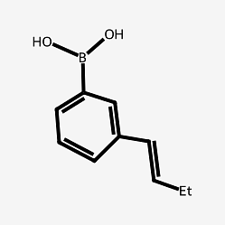 CC/C=C/c1cccc(B(O)O)c1